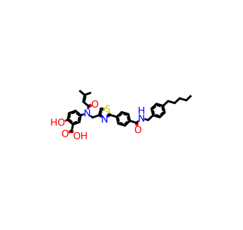 CCCCCc1ccc(CNC(=O)c2ccc(-c3nc(CN(C(=O)C=C(C)C)c4ccc(O)c(C(=O)O)c4)cs3)cc2)cc1